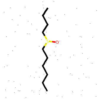 CCCCCC[S+]([O-])CCCC